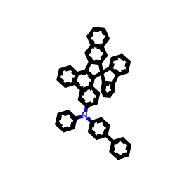 c1ccc(-c2ccc(N(c3ccccc3)c3ccc4c5c(c6ccccc6c4c3)-c3cc4ccccc4cc3C53c4ccccc4-c4ccccc43)cc2)cc1